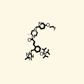 Cc1nnn(Cc2cc(O[Si](C(C)C)(C(C)C)C(C)C)ccc2/C=C/C(=O)N2CCN(Cc3ccc(OCCF)cn3)C[C@H]2C)n1